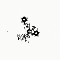 C=C[C@H]1[C@H](NC(=O)OCc2ccccc2)C[C@H](C(=O)OC(C)(C)C)N1Cc1ccccc1